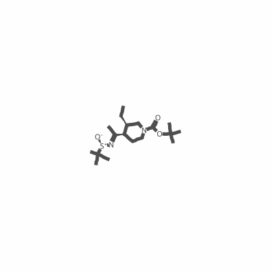 CC[C@H]1CN(C(=O)OC(C)(C)C)CC[C@H]1/C(C)=N/[S@+]([O-])C(C)(C)C